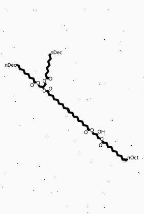 CCCCCCCC/C=C\CCCCCCCC(=O)OCC(O)COC(=O)CCCCCCCC=CCCCCCCCC(=O)OC(COC(=O)CCCCCCCCCCCCCCCCC)COC(=O)CCCCCCCCCCCCCCCCC